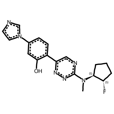 CN(c1ncc(-c2ccc(-n3ccnc3)cc2O)nn1)[C@H]1CCC[C@@H]1F